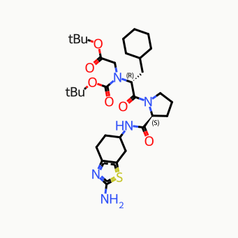 CC(C)(C)OC(=O)CN(C(=O)OC(C)(C)C)[C@H](CC1CCCCC1)C(=O)N1CCC[C@H]1C(=O)NC1CCc2nc(N)sc2C1